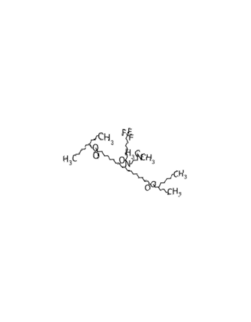 CCCCCCC(CCCC)COC(=O)CCCCCCCCC(CCCCCCCCC(=O)OCC(CCCC)CCCCCC)N(CCCN(C)C)C(=O)CCCCCCC(F)(F)F